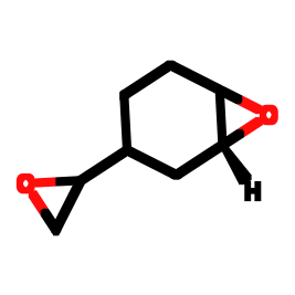 C1CC2O[C@@H]2CC1C1CO1